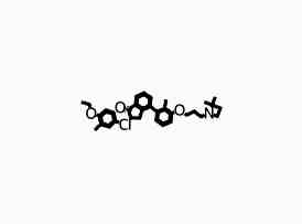 CCOc1cc(O[C@H]2CCc3c(-c4cccc(OCCCN5CCC5(C)C)c4C)cccc32)c(Cl)cc1C